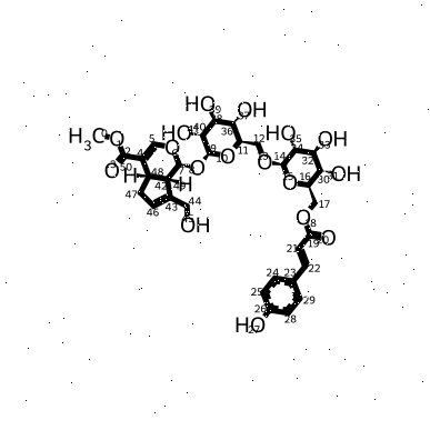 COC(=O)C1=CO[C@@H](O[C@@H]2O[C@H](CO[C@@H]3O[C@H](COC(=O)/C=C/c4ccc(O)cc4)[C@@H](O)[C@H](O)[C@H]3O)[C@@H](O)[C@H](O)[C@H]2O)[C@@H]2C(CO)=CC[C@H]12